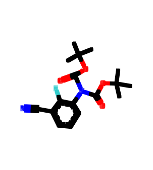 CC(C)(C)OC(=O)N(C(=O)OC(C)(C)C)c1cccc(C#N)c1F